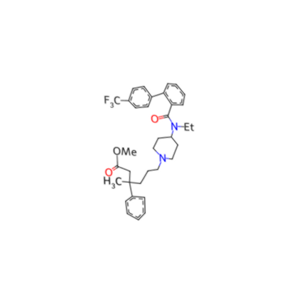 CCN(C(=O)c1ccccc1-c1ccc(C(F)(F)F)cc1)C1CCN(CCCC(C)(CC(=O)OC)c2ccccc2)CC1